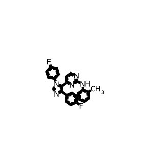 Cc1ccccc1Nc1nccc(-c2c(-c3ccc(F)cc3)ncn2-c2ccc(F)cc2)n1